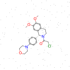 COc1cc2c(cc1OC)[C@@H](c1ccc(N3CCOCC3)cc1)N(C(=O)CCl)CC2